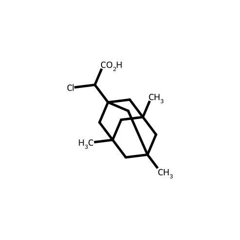 CC12CC3(C)CC(C)(C1)CC(C(Cl)C(=O)O)(C2)C3